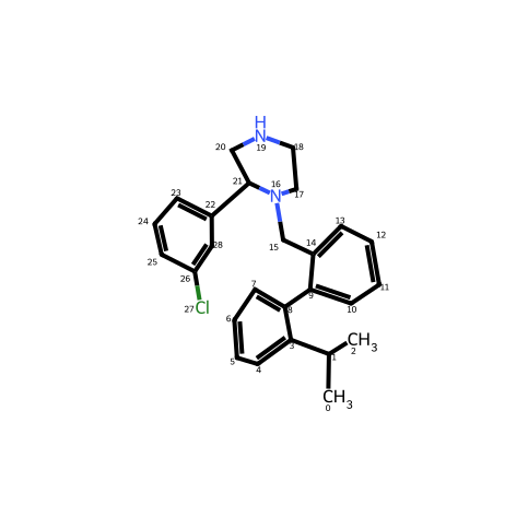 CC(C)c1ccccc1-c1ccccc1CN1CCNCC1c1cccc(Cl)c1